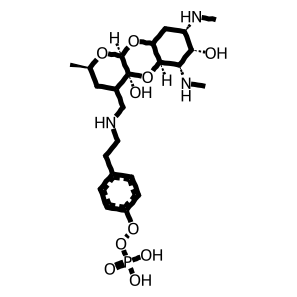 CN[C@H]1[C@@H](O)[C@@H](NC)CC2O[C@@H]3O[C@H](C)CC(CNCCc4ccc(OOP(=O)(O)O)cc4)[C@]3(O)O[C@@H]21